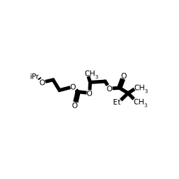 CCC(C)(C)C(=O)OCC(C)OC(=O)OCCOC(C)C